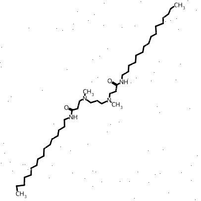 CCCCCCCCCCCCCCCCNC(=O)CCN(C)CCCN(C)CCC(=O)NCCCCCCCCCCCCCCCC